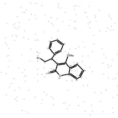 COc1c(C(CC(C)=O)c2ccccc2)c(=O)oc2ccccc12